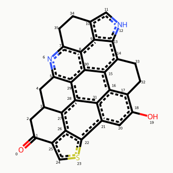 O=C1CC2Cc3nc4c5c6c(c[nH]c6c6c7c8c(c(O)cc9c%10scc1c%10c2c(c3c57)c98)CC6)CC4